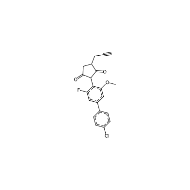 C#CCC1CC(=O)C(c2c(F)cc(-c3ccc(Cl)cc3)cc2OC)C1=O